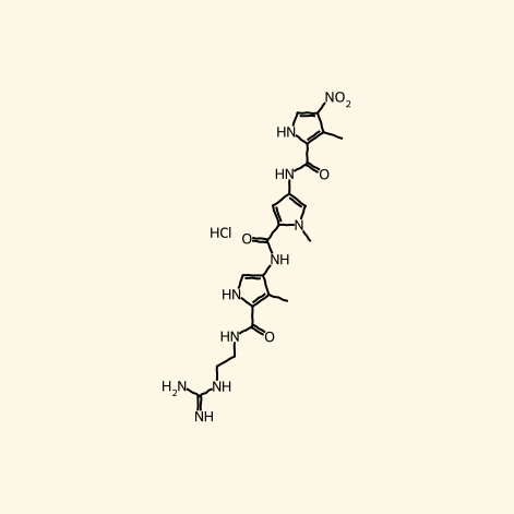 Cc1c(NC(=O)c2cc(NC(=O)c3[nH]cc([N+](=O)[O-])c3C)cn2C)c[nH]c1C(=O)NCCNC(=N)N.Cl